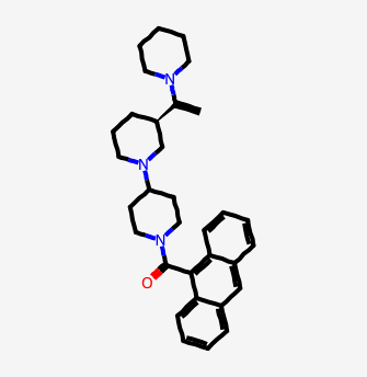 C=C([C@@H]1CCCN(C2CCN(C(=O)c3c4ccccc4cc4ccccc34)CC2)C1)N1CCCCC1